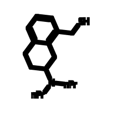 CCCN(CCC)C1CCc2cccc(CS)c2C1